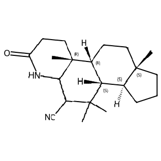 CC1(C)C(C#N)C2NC(=O)CC[C@]2(C)[C@@H]2CC[C@]3(C)CCC[C@H]3[C@@H]21